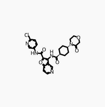 O=C(Nc1ccc(Cl)nc1)c1oc2ccncc2c1NC(=O)[C@H]1CC[C@H](N2CCOCC2=O)CC1